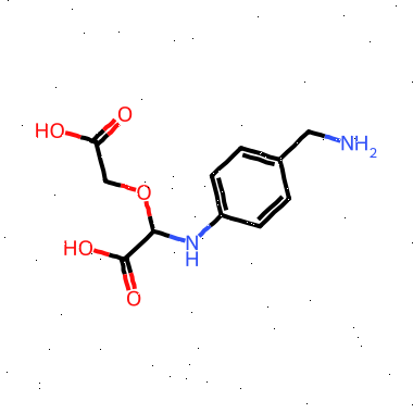 NCc1ccc(NC(OCC(=O)O)C(=O)O)cc1